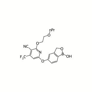 CCCOCCOc1nc(Oc2ccc3c(c2)COB3O)cc(C(F)(F)F)c1C#N